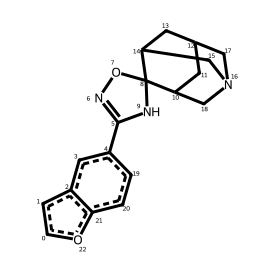 c1cc2cc(C3=NOC4(N3)C3CC5CC4CN(C5)C3)ccc2o1